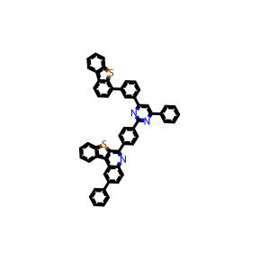 c1ccc(-c2ccc3nc(-c4ccc(-c5nc(-c6ccccc6)cc(-c6cccc(-c7cccc8c7sc7ccccc78)c6)n5)cc4)c4sc5ccccc5c4c3c2)cc1